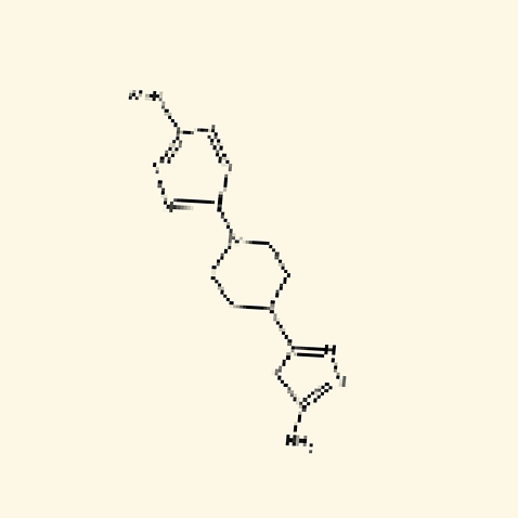 CNc1ccc(N2CCC(c3nnc(N)s3)CC2)nn1